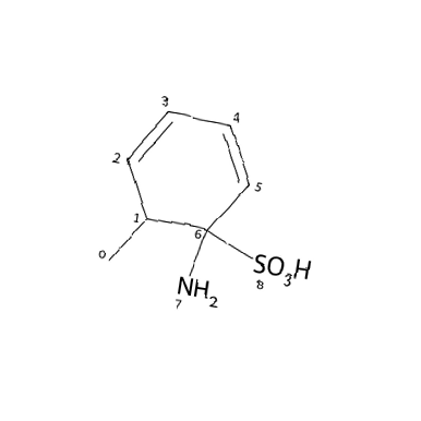 CC1C=CC=CC1(N)S(=O)(=O)O